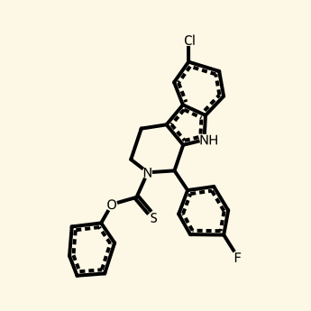 Fc1ccc(C2c3[nH]c4ccc(Cl)cc4c3CCN2C(=S)Oc2ccccc2)cc1